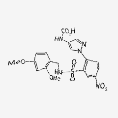 COc1ccc(CNS(=O)(=O)c2cc([N+](=O)[O-])ccc2-n2cc(NC(=O)O)cn2)c(OC)c1